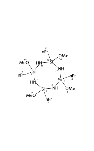 CCC[Si]1(OC)N[Si](CCC)(OC)N[Si](CCC)(OC)N[Si](CCC)(OC)N1